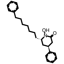 O=C1C[C@@H](c2ccccc2)C[C@H](CCCCCCCc2ccccc2)N1O